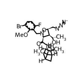 COc1c(Br)ccc(F)c1CN1O[C@@H](CN=[N+]=[N-])[C@@H]([C@H](C)O)[C@H]1C(=O)N[C@H]1C[C@H]2C[C@@H]([C@@H]1C)C2(C)C